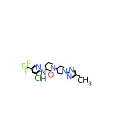 CCc1cnc(N2CCC(N3CCC[C@H](Nc4ncc(C(F)(F)F)cc4Cl)C3=O)CC2)nc1